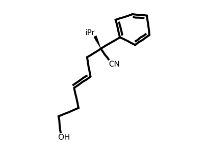 CC(C)[C@@](C#N)(C/C=C/CCO)c1ccccc1